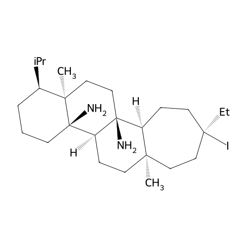 CC[C@@]1(I)CC[C@H]2[C@](C)(CC[C@@H]3[C@]2(N)CC[C@]2(C)[C@H](C(C)C)CCC[C@@]32N)CC1